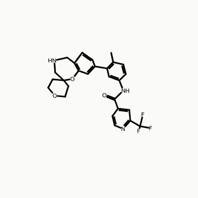 Cc1ccc(NC(=O)c2ccnc(C(F)(F)F)c2)cc1-c1ccc2c(c1)OC1(CCOCC1)CNC2